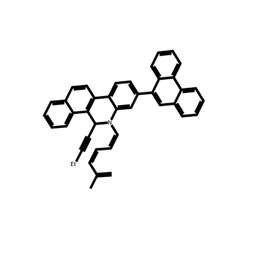 C=C(C)/C=C\C=C/N1c2cc(-c3cc4ccccc4c4ccccc34)ccc2-c2ccc3ccccc3c2C1C#CCC